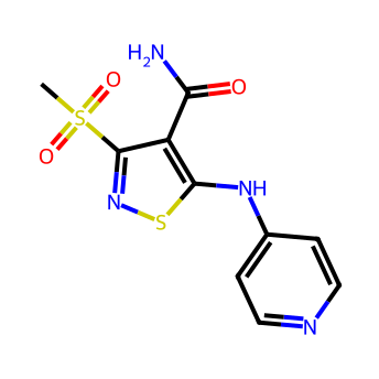 CS(=O)(=O)c1nsc(Nc2ccncc2)c1C(N)=O